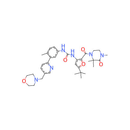 Cc1ccc(NC(=O)Nc2cc(C(C)(C)C)oc2C(=O)N2CCN(C)C(=O)C2(C)C)cc1-c1ccc(CN2CCOCC2)cn1